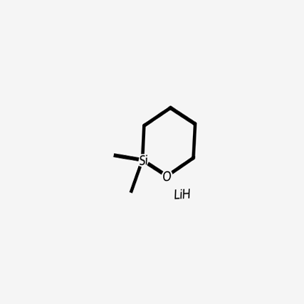 C[Si]1(C)CCCCO1.[LiH]